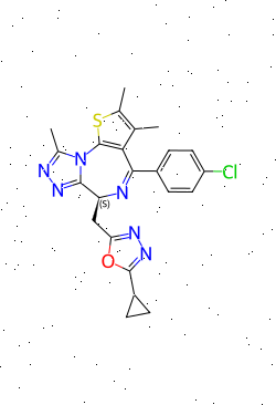 Cc1sc2c(c1C)C(c1ccc(Cl)cc1)=N[C@@H](Cc1nnc(C3CC3)o1)c1nnc(C)n1-2